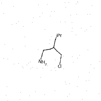 CC(C)C(CN)CCl